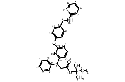 CC(C)(C)OC(=O)CC(c1ccccc1)c1ccnc(Oc2ccc(CNc3ccccn3)cc2)n1